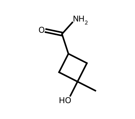 CC1(O)CC(C(N)=O)C1